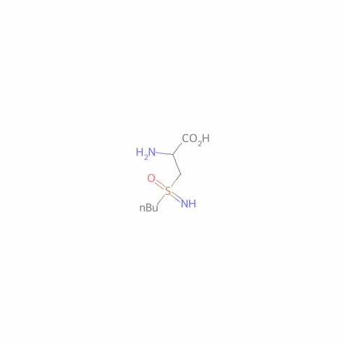 CCCCS(=N)(=O)CC(N)C(=O)O